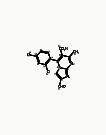 Cc1nc2nc(C=O)cn2c(-c2ccc(Cl)cc2Cl)c1C(=O)O